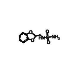 NS(=O)(=O)NCC1Oc2ccccc2O1